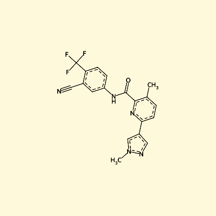 Cc1ccc(-c2cnn(C)c2)nc1C(=O)Nc1ccc(C(F)(F)F)c(C#N)c1